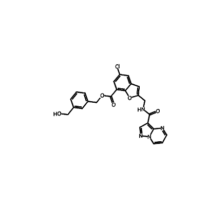 O=C(OCc1cccc(CO)c1)c1cc(Cl)cc2cc(CNC(=O)c3cnn4cccnc34)oc12